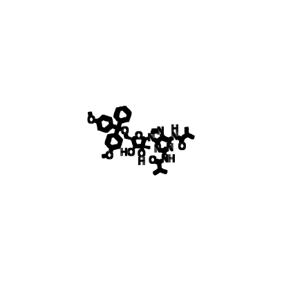 COc1ccc(C(OC[C@H]2O[C@@H](n3cnc4c(NC(=O)C(C)C)nc(NC(=O)C(C)C)nc43)[C@](C)(O)[C@@H]2O)(c2ccccc2)c2ccc(OC)cc2)cc1